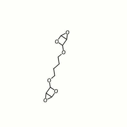 C(CCOC1OC2OC12)COC1OC2OC12